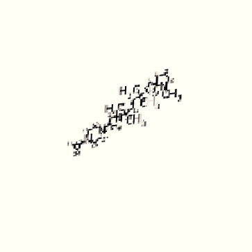 CN1CCCC12CN(C(C)(C)CCC(C)(C)N1CC(N3CCN(C4CC4)CC3)C1)C2